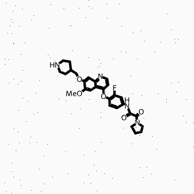 COc1cc2c(Oc3ccc(NC(=O)C(=O)N4CCCC4)cc3F)ccnc2cc1OCC1CCNCC1